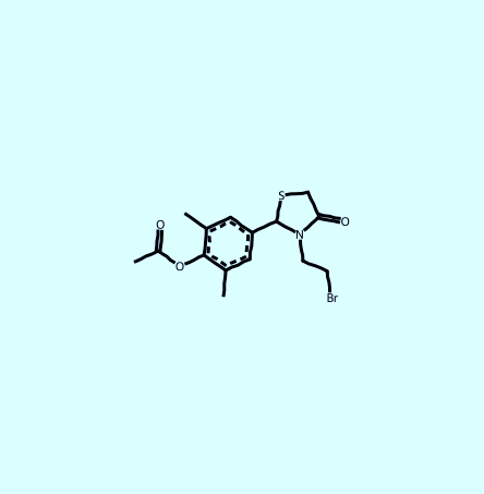 CC(=O)Oc1c(C)cc(C2SCC(=O)N2CCBr)cc1C